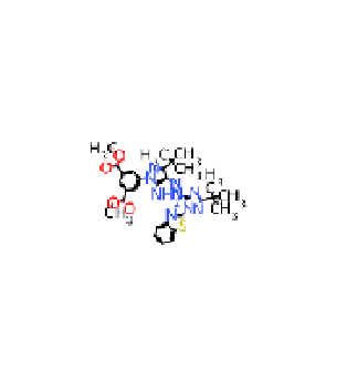 COC(=O)c1cc(C(=O)OC)cc(-n2nc(C(C)(C)C)c(/N=N/c3nc(C(C)(C)C)nn3-c3nc4ccccc4s3)c2N)c1